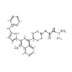 CC(C)NC(=O)CN1CCN(c2nc(-c3nnc(Cc4ccccc4)o3)c(O)c3ncccc23)CC1